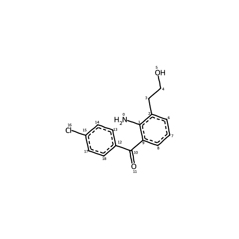 Nc1c(CCO)cccc1C(=O)c1ccc(Cl)cc1